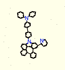 c1ccc(N(c2ccccc2)c2ccc(-c3ccc(-n4c5cc(-c6ccccn6)cc6c5c5c7c(cccc7ccc54)-c4ccccc4-6)cc3)cc2)cc1